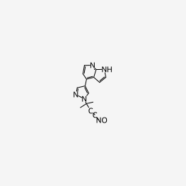 CC(C)(CCN=O)n1cc(-c2ccnc3[nH]ccc23)cn1